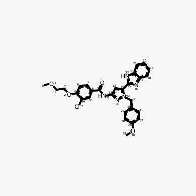 COCCOc1ccc(C(=O)Nc2cc(-c3nc4ccccc4[nH]3)n(Cc3ccc(OC)cc3)n2)cc1Cl